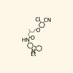 CCn1c2ccccc2c2cc(NC(=O)CC(C)CCOc3ccc(C#N)c(Cl)c3)ccc21